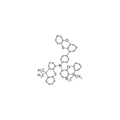 CC1(C)c2ccccc2Sc2c(N(c3ccc(-c4cccc5c4Sc4ccccc4O5)cc3)c3cccc4c3Oc3ccccc3[Si]4(C)C)cccc21